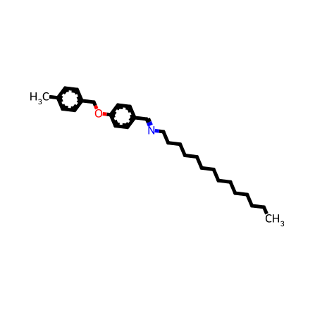 CCCCCCCCCCCCCC/N=C/c1ccc(OCc2ccc(C)cc2)cc1